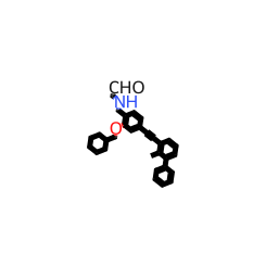 Cc1c(C#Cc2ccc(CNCC=O)c(OCC3CCCCC3)c2)cccc1-c1ccccc1